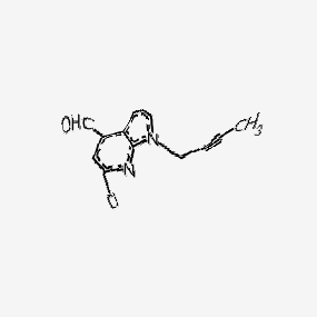 CC#CCn1ccc2c(C=O)cc(Cl)nc21